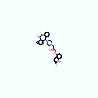 O=c1ccc2c(OC[C@H](O)CN3CCN(C4c5ccccc5C(F)C(F)c5c4ccc4c5C4)CC3)cccc2[nH]1